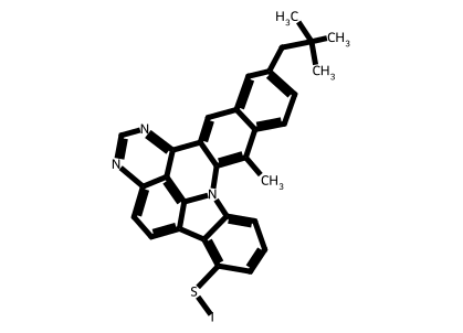 Cc1c2ccc(CC(C)(C)C)cc2cc2c3ncnc4ccc5c6c(SI)cccc6n(c12)c5c43